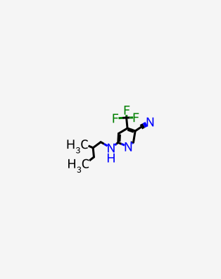 CCC(C)CNc1cc(C(F)(F)F)c(C#N)cn1